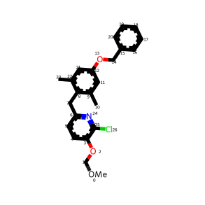 COCOc1ccc(Cc2c(C)cc(OCc3ccccc3)cc2C)nc1Cl